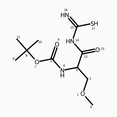 COCC(NC(=O)OC(C)(C)C)C(=O)NC(=N)S